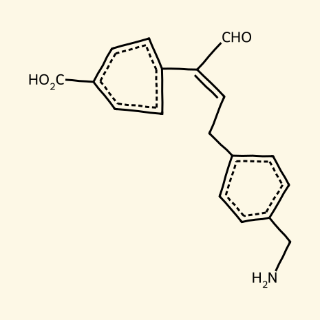 NCc1ccc(C/C=C(/C=O)c2ccc(C(=O)O)cc2)cc1